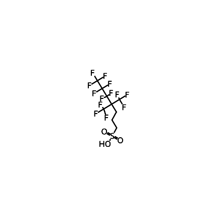 O=S(=O)(O)CCCC(C(F)(F)F)(C(F)(F)F)C(F)(F)C(F)(F)C(F)(F)F